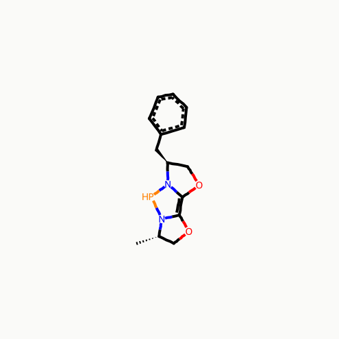 C[C@H]1COC2=C3OC[C@H](Cc4ccccc4)N3PN21